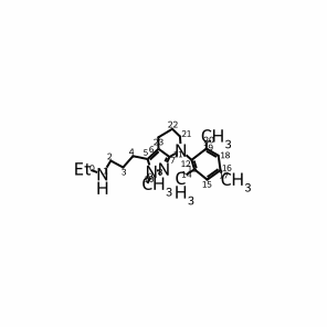 CCNCCCc1c2c(nn1C)N(c1c(C)cc(C)cc1C)CCC2